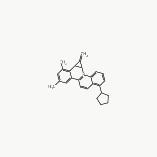 C=C1C2c3c(C)cc(C)cc3-c3ccc4c(C5CCCC5)cccc4[n+]3C12